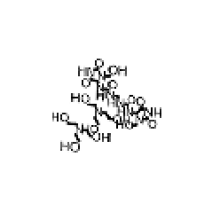 O=C(NCNC(=O)NC1C(=O)NC(=O)N1CO)NC1C(=O)NC(=O)N1CO.OCCN(CCO)CCO.OCCN(CCO)CCO